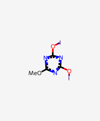 COc1nc(OI)nc(OI)n1